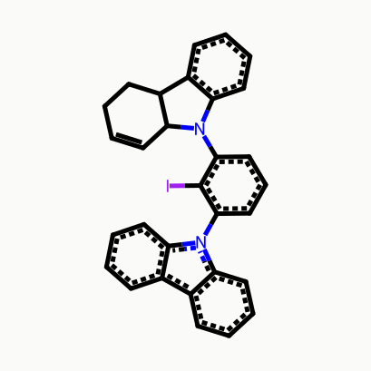 Ic1c(N2c3ccccc3C3CCC=CC32)cccc1-n1c2ccccc2c2ccccc21